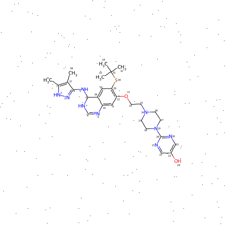 Cc1[nH]nc(NC2NC=Nc3cc(OCCN4CCN(c5ncc(O)cn5)CC4)c(SC(C)(C)C)cc32)c1C